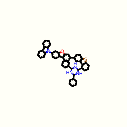 c1ccc(C2NC(c3ccccc3)NC(c3cccc4sc5ccc(-c6ccc7c(c6)oc6cc(-n8c9ccccc9c9ccccc98)ccc67)cc5c34)N2)cc1